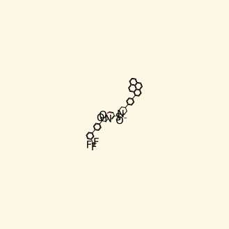 C/C=C\C(=C/N(C=O)CC(=O)c1ccc(-c2cccc(C(F)(F)F)c2)cc1)[S+]([O-])N1CCC(c2ccc(-c3ccc4ccc5cccc6ccc3c4c56)cc2)CC1